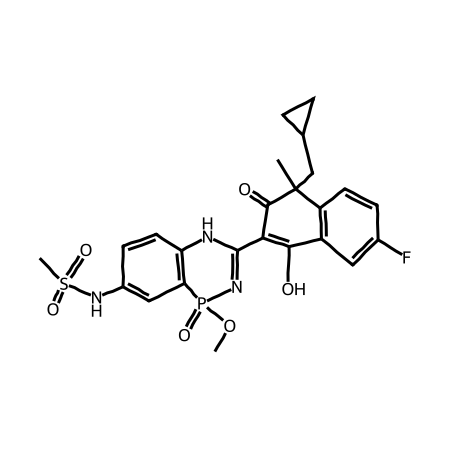 COP1(=O)N=C(C2=C(O)c3cc(F)ccc3C(C)(CC3CC3)C2=O)Nc2ccc(NS(C)(=O)=O)cc21